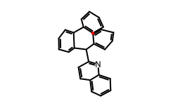 c1ccc(-c2ccccc2C(c2ccccc2)c2ccc3ccccc3n2)cc1